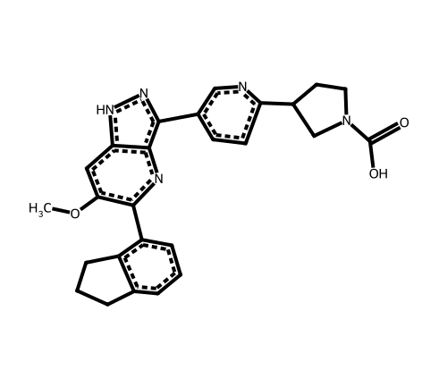 COc1cc2[nH]nc(-c3ccc(C4CCN(C(=O)O)C4)nc3)c2nc1-c1cccc2c1CCC2